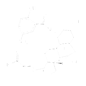 C[C@H](CCC(=O)O)[C@H]1CC[C@H]2[C@@H]3[C@@H](O)CC4C[C@@H](O)CC[C@]4(C)[C@H]3CC[C@]12C.NC(=O)c1cc(N)ccc1O